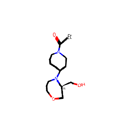 CCC(=O)N1CCC(N2CCOC[C@@H]2CO)CC1